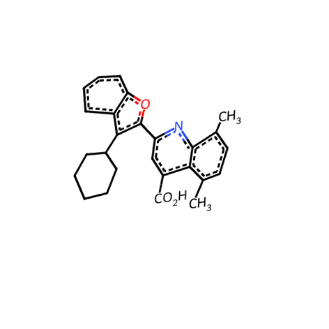 Cc1ccc(C)c2c(C(=O)O)cc(-c3oc4ccccc4c3C3CCCCC3)nc12